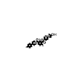 Cc1ccc(C2CCN(C(=O)c3ccc(C)c(C(=O)Nc4ccc(N5CC(O)C5)nc4)c3)CC2)cc1